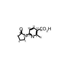 Cc1nc(N2CCCC2=O)ccc1C(=O)O